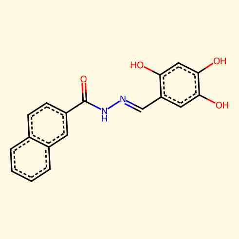 O=C(NN=Cc1cc(O)c(O)cc1O)c1ccc2ccccc2c1